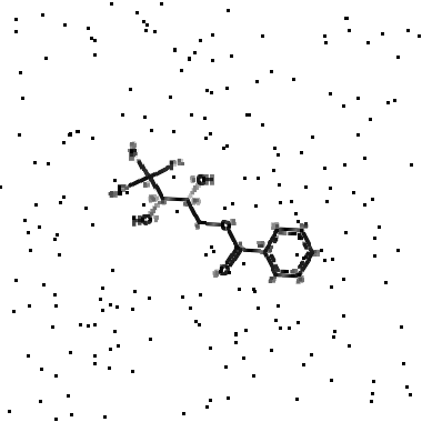 O=C(OC[C@@H](O)[C@H](O)C(F)(F)F)c1ccccc1